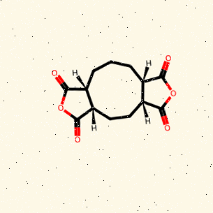 O=C1OC(=O)[C@@H]2CCC[C@@H]3C(=O)OC(=O)[C@@H]3CC[C@H]12